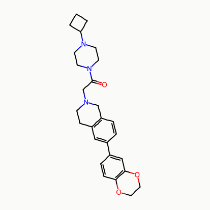 O=C(CN1CCc2cc(-c3ccc4c(c3)OCCO4)ccc2C1)N1CCN(C2CCC2)CC1